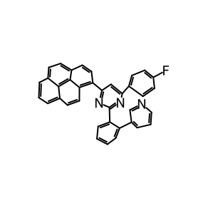 Fc1ccc(-c2cc(-c3ccc4ccc5cccc6ccc3c4c56)nc(-c3ccccc3-c3cccnc3)n2)cc1